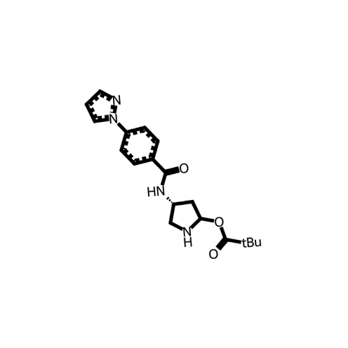 CC(C)(C)C(=O)OC1C[C@@H](NC(=O)c2ccc(-n3cccn3)cc2)CN1